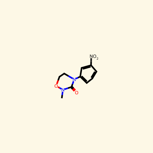 CN1OCCN(c2cccc([N+](=O)[O-])c2)C1=O